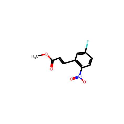 COC(=O)/C=C/c1cc(F)ccc1[N+](=O)[O-]